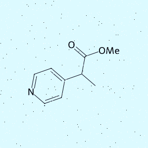 COC(=O)C(C)c1c[c]ncc1